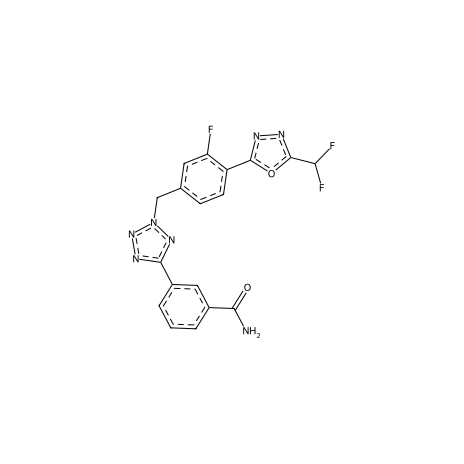 NC(=O)c1cccc(-c2nnn(Cc3ccc(-c4nnc(C(F)F)o4)c(F)c3)n2)c1